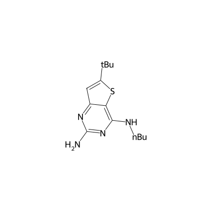 CCCCNc1nc(N)nc2cc(C(C)(C)C)sc12